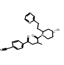 CC(CC(=O)c1ccc(C#N)cc1)C(=O)N1CC[C@@H]([O])CC1CCc1ccccn1